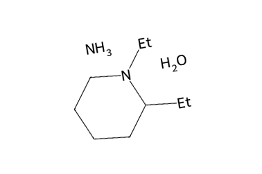 CCC1CCCCN1CC.N.O